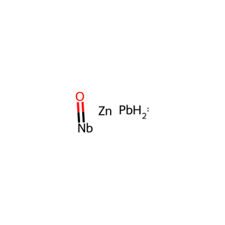 [O]=[Nb].[PbH2].[Zn]